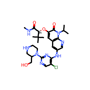 CNC(=O)[C@H](Oc1cc2cc(Nc3nc(N4CCNCC4CO)ncc3Cl)cnc2n(C(C)C)c1=O)C(C)(C)C